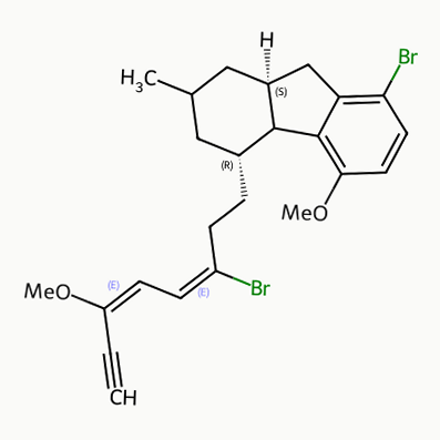 C#C/C(=C\C=C(\Br)CC[C@@H]1CC(C)C[C@H]2Cc3c(Br)ccc(OC)c3C12)OC